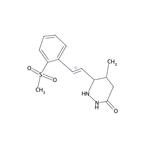 CC1CC(=O)NNC1/C=C/c1ccccc1S(C)(=O)=O